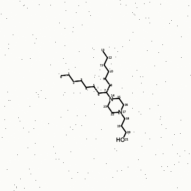 CCCCCCCC(CCCCCC)N1CCN(CCCO)CC1